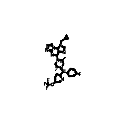 C[C@@H]1CN(c2nc3nncn3c3c2ncn3CC2CC2)[C@@H](C)CN1[C@@H](c1ccc(F)cc1)c1ccc(OC(F)(F)F)cn1